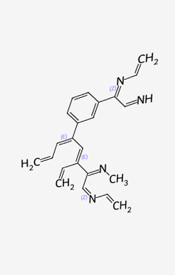 C=C/C=C(\C=C(/C=C)C(/C=N\C=C)=NC)c1cccc(/C(C=N)=N/C=C)c1